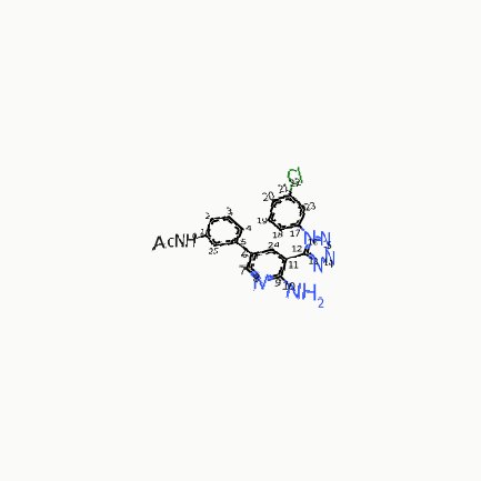 CC(=O)Nc1cccc(-c2cnc(N)c(-c3nnnn3-c3cccc(Cl)c3)c2)c1